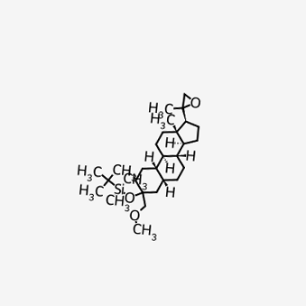 COCC1(O[Si](C)(C)C(C)(C)C)CC[C@H]2[C@H](CC[C@@H]3[C@@H]2CC[C@]2(C)[C@@H](C4(C)CO4)CC[C@@H]32)C1